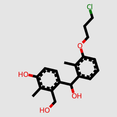 Cc1c(OCCCCl)cccc1C(O)c1ccc(O)c(C)c1CO